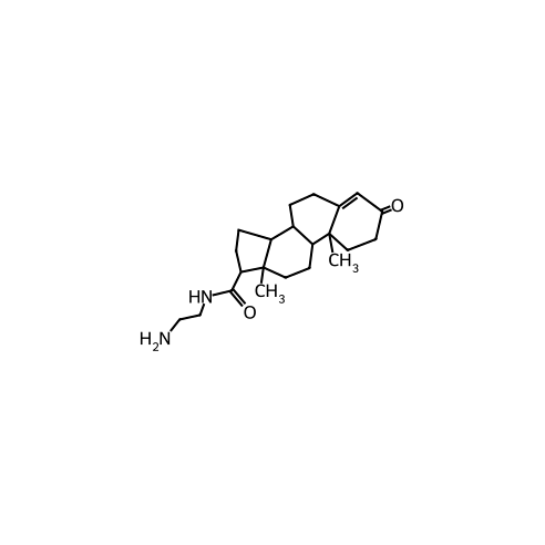 CC12CCC(=O)C=C1CCC1C2CCC2(C)C(C(=O)NCCN)CCC12